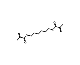 C=C(C)C(=O)SCCCCCCSC(=O)C(=C)C